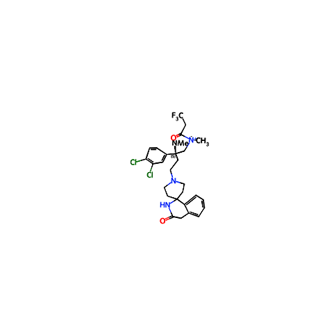 CN[C@](CCN1CCC2(CC1)NC(=O)Cc1ccccc12)(C[N+](C)C(=O)CC(F)(F)F)c1ccc(Cl)c(Cl)c1